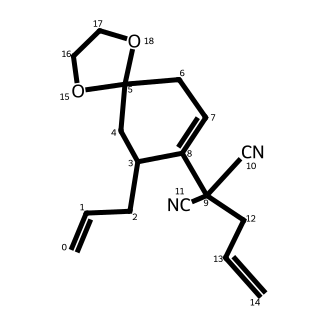 C=CCC1CC2(CC=C1C(C#N)(C#N)CC=C)OCCO2